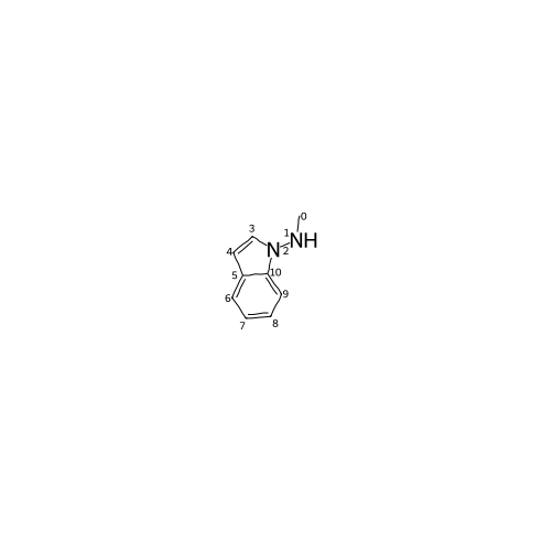 CNn1ccc2ccccc21